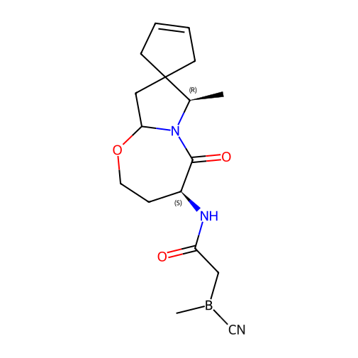 CB(C#N)CC(=O)N[C@H]1CCOC2CC3(CC=CC3)[C@@H](C)N2C1=O